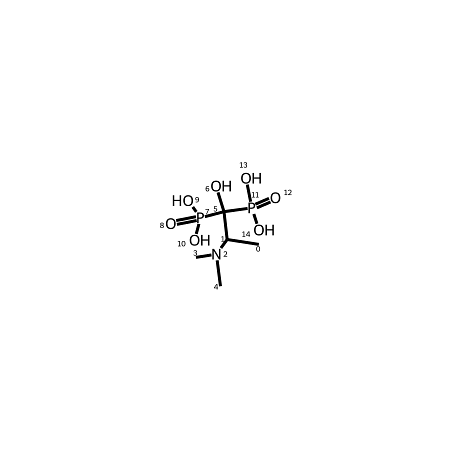 CC(N(C)C)C(O)(P(=O)(O)O)P(=O)(O)O